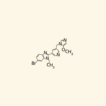 CCn1c(-c2cncc(Cn3cncc3OC)c2)nc2ccc(Br)cc21